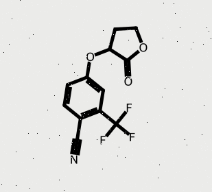 N#Cc1ccc(OC2CCOC2=O)cc1C(F)(F)F